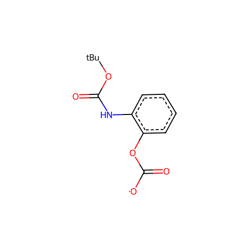 CC(C)(C)OC(=O)Nc1ccccc1OC([O])=O